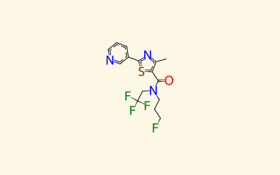 Cc1nc(-c2cccnc2)sc1C(=O)N(CCCF)CC(F)(F)F